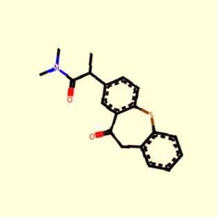 CC(C(=O)N(C)C)c1ccc2c(c1)C(=O)Cc1ccccc1S2